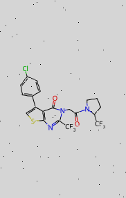 O=C(Cn1c(C(F)(F)F)nc2scc(-c3ccc(Cl)cc3)c2c1=O)N1CCCC1C(F)(F)F